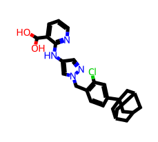 OC(O)c1cccnc1Nc1cnn(Cc2ccc(C34CC5CC(CC(C5)C3)C4)cc2Cl)c1